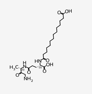 C[C@H](NC(=O)CC[C@H](NC(=O)CCCCCCCCCCCCC(=O)O)C(=O)O)C(=O)CN